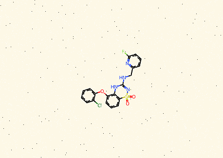 O=S1(=O)N=C(NCc2cccc(F)n2)Nc2c(Oc3ccccc3Cl)cccc21